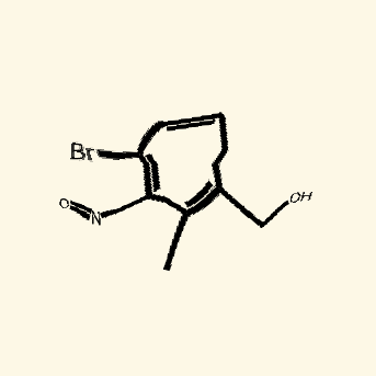 CC1=C(CO)CC=CC(Br)=C1N=O